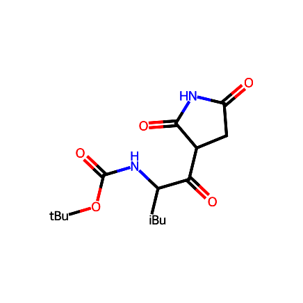 CCC(C)C(NC(=O)OC(C)(C)C)C(=O)C1CC(=O)NC1=O